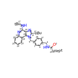 CCCCCCCC(=O)NCc1ccc(Cn2c(CCCC)nc3c(NC(C)(C)C)nc4ccccc4c32)cc1